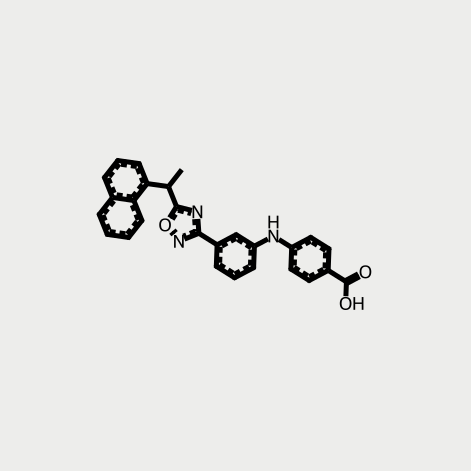 CC(c1nc(-c2cccc(Nc3ccc(C(=O)O)cc3)c2)no1)c1cccc2ccccc12